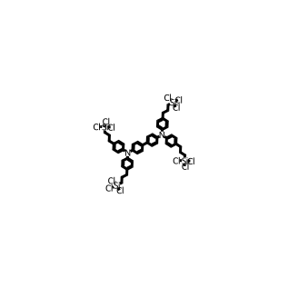 Cl[Si](Cl)(Cl)CCCc1ccc(N(c2ccc(CCC[Si](Cl)(Cl)Cl)cc2)c2ccc(-c3ccc(N(c4ccc(CCC[Si](Cl)(Cl)Cl)cc4)c4ccc(CCC[Si](Cl)(Cl)Cl)cc4)cc3)cc2)cc1